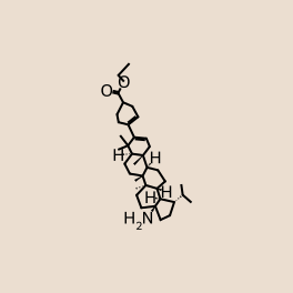 CCOC(=O)C1CC=C(C2=CC[C@]3(C)[C@H]4CC[C@@H]5[C@H]6[C@H](C(C)C)CC[C@]6(N)CC[C@@]5(C)[C@]4(C)CC[C@H]3C2(C)C)CC1